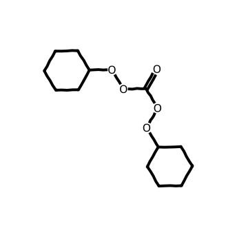 O=C(OOC1CCCCC1)OOC1CCCCC1